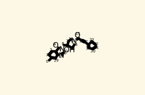 Cc1ccc2c(=O)n(CC3(O)CCN(C(=O)C#Cc4ccccc4)CC3)cnc2c1